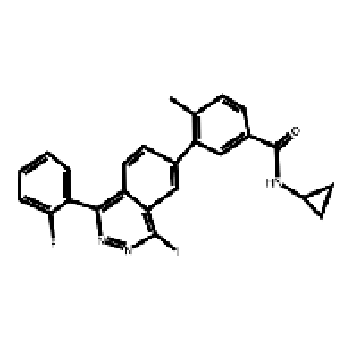 Cc1ccc(C(=O)NC2CC2)cc1-c1ccc2c(-c3ccccc3F)nnc(I)c2c1